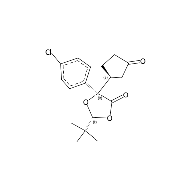 CC(C)(C)[C@H]1OC(=O)[C@](c2ccc(Cl)cc2)([C@H]2CCC(=O)C2)O1